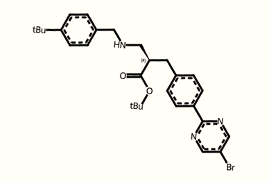 CC(C)(C)OC(=O)[C@@H](CNCc1ccc(C(C)(C)C)cc1)Cc1ccc(-c2ncc(Br)cn2)cc1